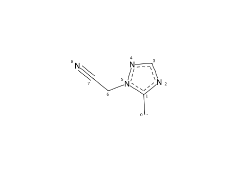 [CH2]c1ncnn1CC#N